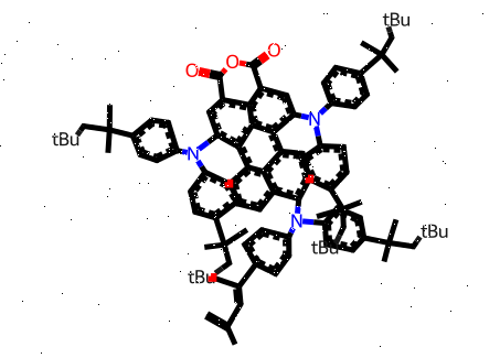 C=C(C)/C=C(\C)c1ccc(N(c2ccc(C(C)(C)CC(C)(C)C)cc2)c2ccc3c4c(N(c5ccc(C(C)(C)CC(C)(C)C)cc5)c5ccc(C(C)(C)CC(C)(C)C)cc5)cc5c6c(cc(N(c7ccc(C(C)(C)CC(C)(C)C)cc7)c7ccc(C(C)(C)CC(C)(C)C)cc7)c(c7cccc2c73)c64)C(=O)OC5=O)cc1